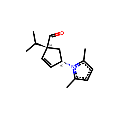 Cc1ccc(C)n1[C@@H]1C=C[C@@](C=O)(C(C)C)C1